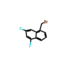 Fc1cc(F)c2cccc(CBr)c2c1